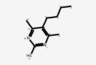 CCCCc1c(C)nc(S)nc1C